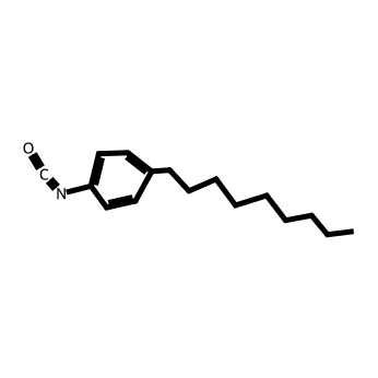 CCCCCCCCCc1ccc(N=C=O)cc1